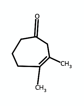 CC1=C(C)CC(=O)CCC1